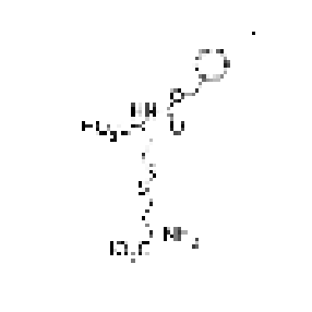 NC(CCSSCC[C@H](NC(=O)OCc1ccccc1)C(=O)O)C(=O)O